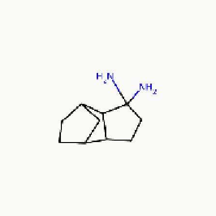 NC1(N)CCC2C3CCC(C3)C21